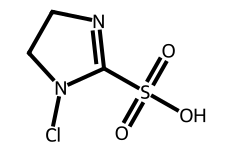 O=S(=O)(O)C1=NCCN1Cl